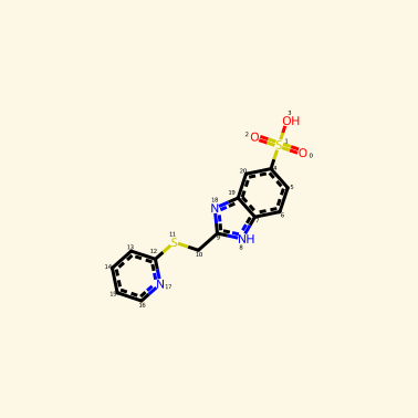 O=S(=O)(O)c1ccc2[nH]c(CSc3ccccn3)nc2c1